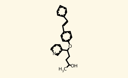 CC(O)CCC(Oc1ccc(/C=C/c2ccccc2)cc1)c1cccnc1